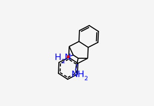 NC1C(N)C2c3ccccc3C1C1C=CC=CC12